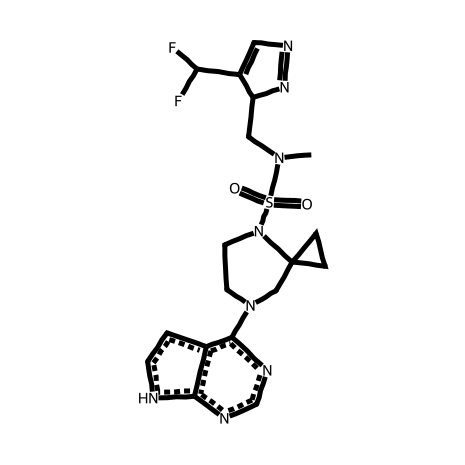 CN(CC1N=NC=C1C(F)F)S(=O)(=O)N1CCN(c2ncnc3[nH]ccc23)CC12CC2